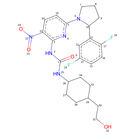 O=C(Nc1nc(N2CCCC2c2cc(F)ccc2F)ccc1[N+](=O)[O-])NC1CCC(CCO)CC1